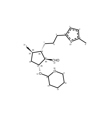 Cc1ccc(CCC[C@@H]2[C@@H](C=O)[C@H](OC3CCCCO3)C[C@H]2I)s1